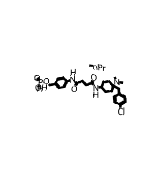 CCCC.CN(C)C1(Cc2ccc(Cl)cc2)CCC(NC(=O)CCC(=O)Nc2ccc(CO[PH](=O)O)cc2)CC1